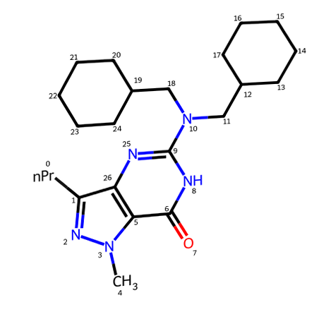 CCCc1nn(C)c2c(=O)[nH]c(N(CC3CCCCC3)CC3CCCCC3)nc12